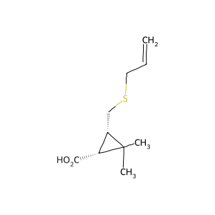 C=CCSC[C@H]1[C@@H](C(=O)O)C1(C)C